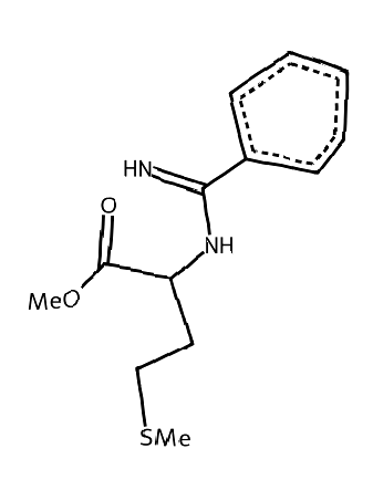 COC(=O)C(CCSC)NC(=N)c1ccccc1